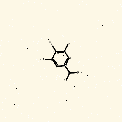 Cc1cc(C(C)F)cc(F)c1F